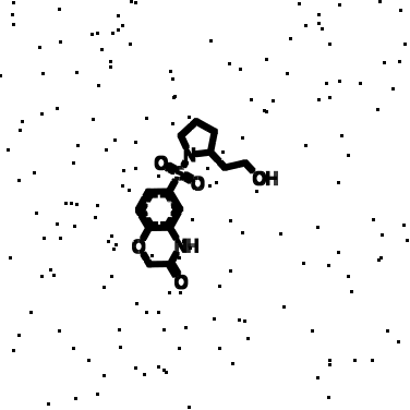 O=C1COc2ccc(S(=O)(=O)N3CCCC3CCO)cc2N1